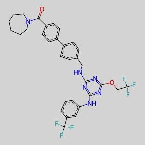 O=C(c1ccc(-c2ccc(CNc3nc(Nc4cccc(C(F)(F)F)c4)nc(OCC(F)(F)F)n3)cc2)cc1)N1CCCCCC1